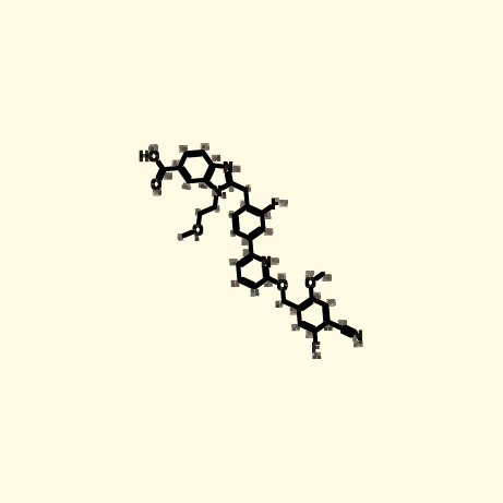 COCCn1c(Cc2ccc(-c3cccc(OCc4cc(F)c(C#N)cc4OC)n3)cc2F)nc2ccc(C(=O)O)cc21